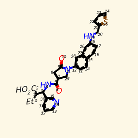 CCC(C(=O)O)C(NC(=O)C1CC(=O)N(c2ccc3ccc(NCc4cccs4)cc3c2)C1)c1cccnc1